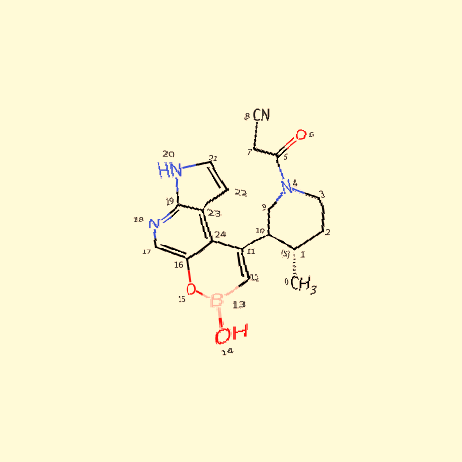 C[C@H]1CCN(C(=O)CC#N)CC1C1=CB(O)Oc2cnc3[nH]ccc3c21